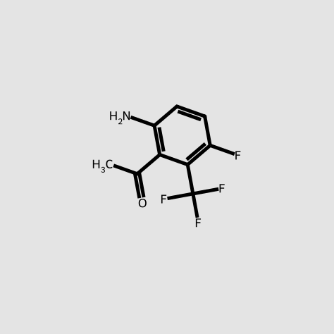 CC(=O)c1c(N)ccc(F)c1C(F)(F)F